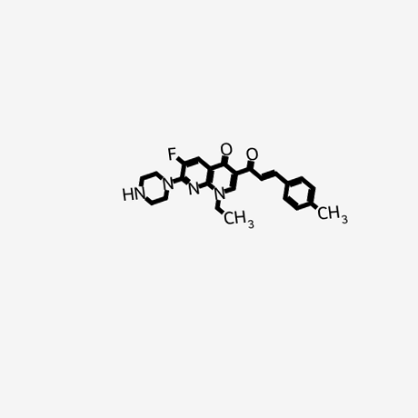 CCn1cc(C(=O)C=Cc2ccc(C)cc2)c(=O)c2cc(F)c(N3CCNCC3)nc21